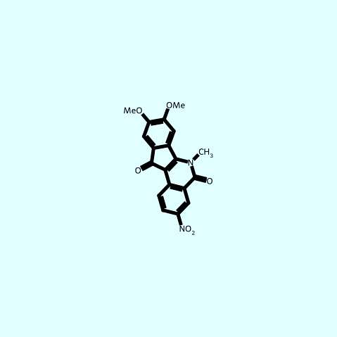 COc1cc2c(cc1OC)-c1c(c3ccc([N+](=O)[O-])cc3c(=O)n1C)C2=O